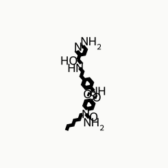 CCCCCCN(C(N)=O)c1ccc(S(=O)(=O)Nc2ccc(CCNCC(O)c3ccc(N)nc3)cc2)cc1